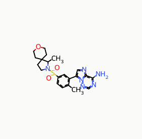 Cc1ccc(S(=O)(=O)N2CCC3(CCOCC3)C2C)cc1-c1cnc2c(N)ncnn12